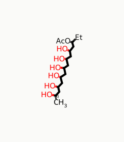 CCC(CC(O)CC(O)CC(O)CC(O)CC(O)C[C@@H](C)O)OC(C)=O